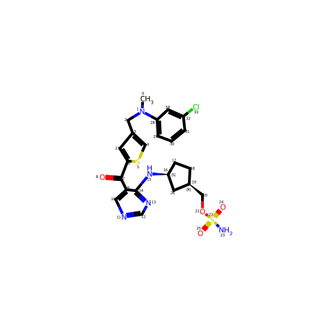 CN(Cc1csc(C(=O)c2cncnc2N[C@H]2CC[C@@H](COS(N)(=O)=O)C2)c1)c1cccc(Cl)c1